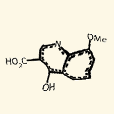 COc1cccc2c(O)c(C(=O)O)cnc12